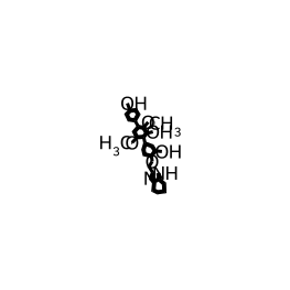 COc1cc(-c2ccc(O)cc2)c(OC)c(O)c1-c1ccc(OCc2nc3ccccc3[nH]2)c(O)c1